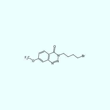 O=c1c2ccc(OC(F)(F)F)cc2nnn1CCCCBr